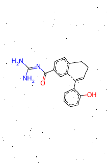 NC(N)=NC(=O)c1ccc2c(c1)C(c1ccccc1O)=CCC2